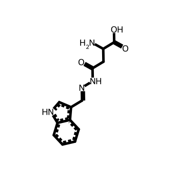 NC(CC(=O)NN=Cc1c[nH]c2ccccc12)C(=O)O